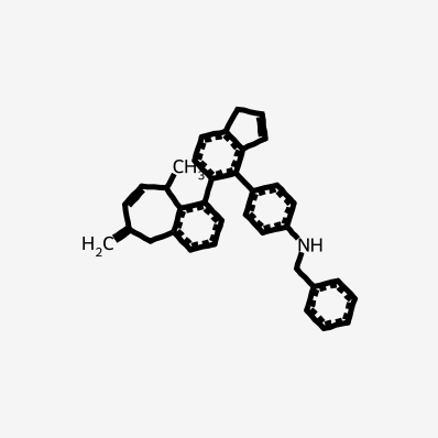 C=C1C=CC(C)c2c(cccc2-c2ccc3c(c2-c2ccc(NCc4ccccc4)cc2)C=CC3)C1